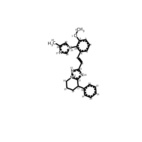 COc1cccc(/C=C/c2nc3n(n2)CCCC3c2ccccc2)c1-n1cnc(C)c1